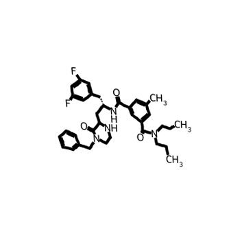 CCCN(CCC)C(=O)c1cc(C)cc(C(=O)N[C@@H](Cc2cc(F)cc(F)c2)CC2NCCN(Cc3ccccc3)C2=O)c1